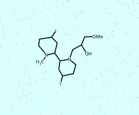 COCC(O)CN1CCC(I)CC1C1CC(I)CCN1C